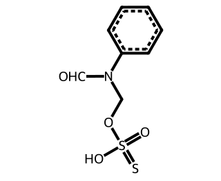 O=CN(COS(=O)(O)=S)c1ccccc1